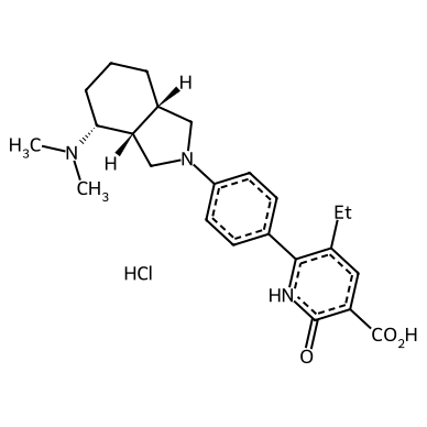 CCc1cc(C(=O)O)c(=O)[nH]c1-c1ccc(N2C[C@H]3CCC[C@@H](N(C)C)[C@H]3C2)cc1.Cl